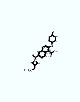 CC1CCC(Oc2ccc3cc(C(C)N4CC(CC(=O)O)C4)ccc3c2C(F)F)CC1